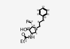 CCC(=O)N[C@H]1CN(CCCc2ccccc2)[C@@H](CF)[C@@H]1O